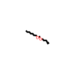 C#CCCCOCOCCCCCCC